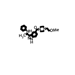 C=C(Nc1ccccc1)c1n[nH]c2ccc(C(=O)N3CCN(CCOC)CC3)cc12